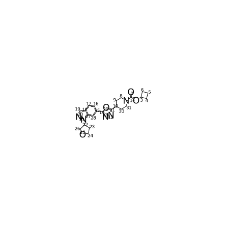 O=C(OC1CCC1)N1CCC(c2nnc(-c3ccc4cnn(C5CCOC5)c4c3)o2)CC1